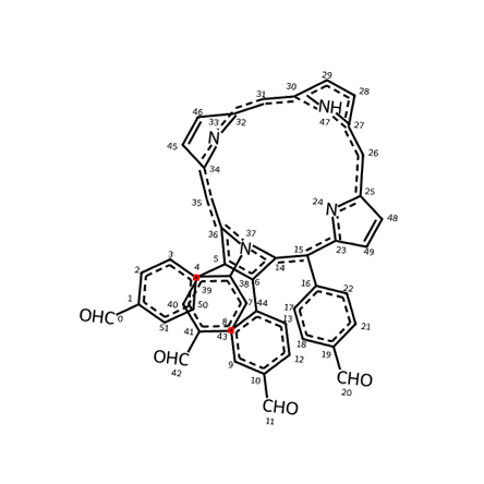 O=Cc1ccc(-c2c(-c3ccc(C=O)cc3)c3c(-c4ccc(C=O)cc4)c4nc(cc5ccc(cc6nc(cc2n3-c2ccc(C=O)cc2)C=C6)[nH]5)C=C4)cc1